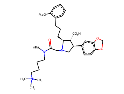 CCCCN(CCCC[N+](C)(C)C)C(=O)CN1C[C@H](c2ccc3c(c2)OCO3)[C@@H](C(=O)O)[C@@H]1CCCc1ccccc1OC